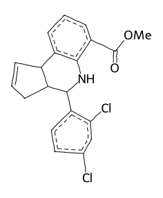 COC(=O)c1cccc2c1NC(c1ccc(Cl)cc1Cl)C1CC=CC21